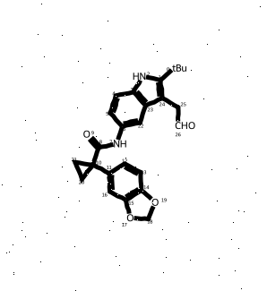 CC(C)(C)c1[nH]c2ccc(NC(=O)C3(c4ccc5c(c4)OCO5)CC3)cc2c1CC=O